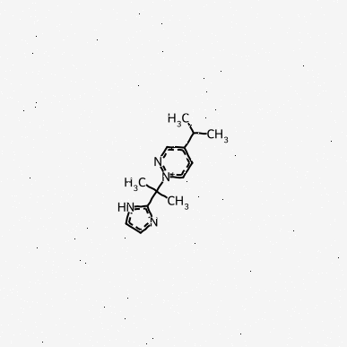 CC(C)c1cc[n+](C(C)(C)c2ncc[nH]2)nc1